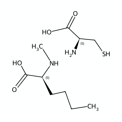 CCCC[C@H](NC)C(=O)O.N[C@H](CS)C(=O)O